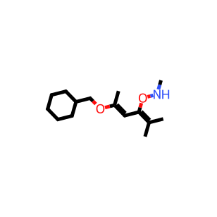 CNOC(/C=C(\C)OCC1CCCCC1)=C(C)C